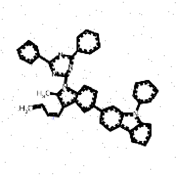 C=C/C=C\c1c(C)n(-c2nc(-c3ccccc3)nc(-c3ccccc3)n2)c2ccc(-c3ccc4c5ccccc5n(-c5ccccc5)c4c3)cc12